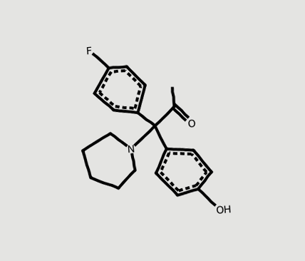 CC(=O)C(c1ccc(O)cc1)(c1ccc(F)cc1)N1CCCCC1